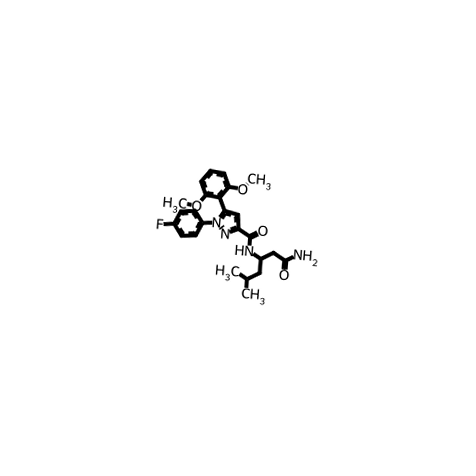 COc1cccc(OC)c1-c1cc(C(=O)NC(CC(N)=O)CC(C)C)nn1-c1ccc(F)cc1